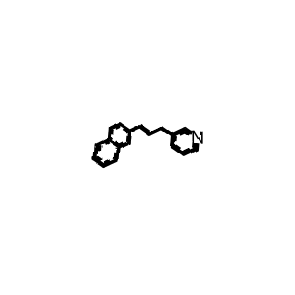 C(=Cc1ccc2ccccc2c1)Cc1cccnc1